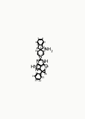 N[C@H]1c2ccccc2CC12CCN(c1nc3[nH]nc(C4(c5ccccc5)CC4)c3c(=O)[nH]1)CC2